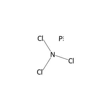 ClN(Cl)Cl.[P]